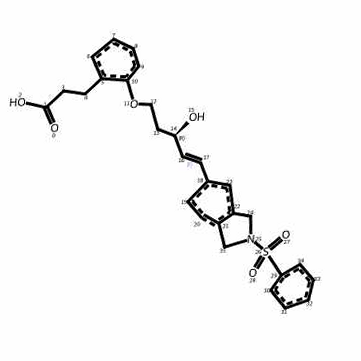 O=C(O)CCc1ccccc1OCC[C@@H](O)/C=C/c1ccc2c(c1)CN(S(=O)(=O)c1ccccc1)C2